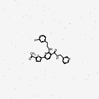 CC(=O)c1ccc(-c2ccc(C(=O)NCc3cccnc3)c(NCCc3cccc(F)c3)n2)s1